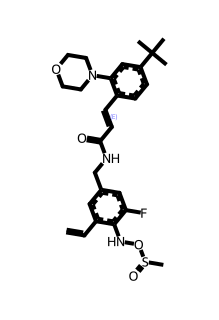 C=Cc1cc(CNC(=O)/C=C/c2ccc(C(C)(C)C)cc2N2CCOCC2)cc(F)c1NOS(C)=O